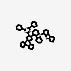 c1ccc(-c2nc(-c3ccccc3)nc(-c3cc4c5ccccc5c5ccccc5c4cc3-c3cccc4c3c3ccccc3n4-c3cccc4c3sc3ccccc34)n2)cc1